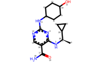 C[C@@H](Nc1nc(NC2CCC(O)CC2)ncc1C(N)=O)C1CC1